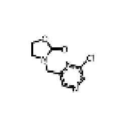 O=C1OCCN1Cc1cncc(Cl)n1